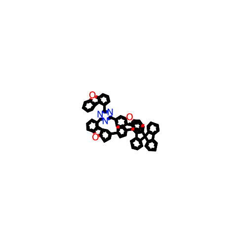 c1ccc2c(c1)-c1ccccc1C21c2ccccc2-c2c(-c3ccc(-c4ccc5oc6cccc(-c7nc(-c8ccc9c(c8)oc8ccccc89)nc(-c8cccc9oc%10ccccc%10c89)n7)c6c5c4)cc3)cccc21